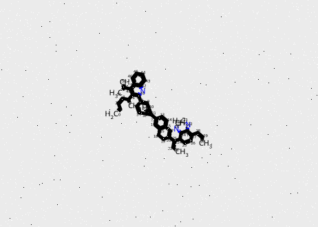 C=C/C=C\C(C)c1c(C2=CC3C(c4ccc5c(c4)CCC(/C(=C/C)C4C=CC(/C=C\C)=C(N=C)C4N=C)=C5)[C@@H]3C=C2)nc2ccccc2c1C(=C)C